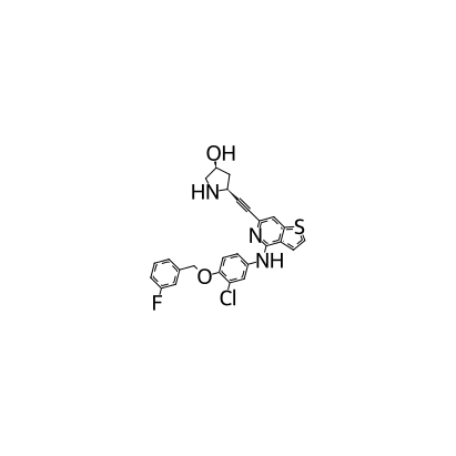 O[C@@H]1CN[C@H](C#Cc2cc3sccc3c(Nc3ccc(OCc4cccc(F)c4)c(Cl)c3)n2)C1